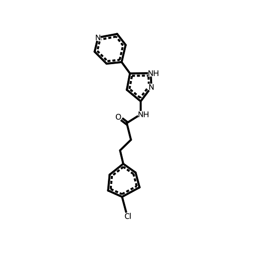 O=C(CCc1ccc(Cl)cc1)Nc1cc(-c2ccncc2)[nH]n1